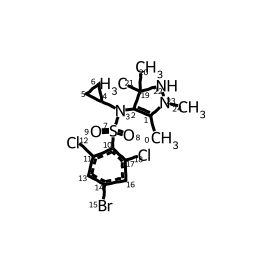 CC1=C(N(C2CC2)S(=O)(=O)c2c(Cl)cc(Br)cc2Cl)C(C)(C)NN1C